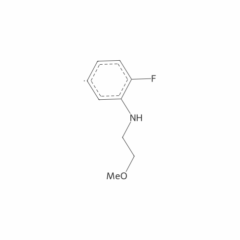 COCCNc1c[c]ccc1F